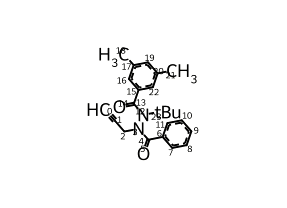 C#CCN(C(=O)c1ccccc1)N(C(=O)c1cc(C)cc(C)c1)C(C)(C)C